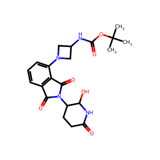 CC(C)(C)OC(=O)NC1CN(c2cccc3c2C(=O)N(C2CCC(=O)NC2O)C3=O)C1